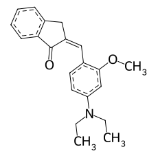 CCN(CC)c1ccc(C=C2Cc3ccccc3C2=O)c(OC)c1